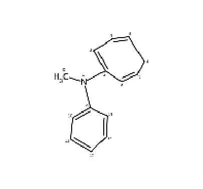 CN(C1=CC=CCC=C1)c1ccccc1